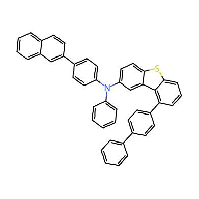 c1ccc(-c2ccc(-c3cccc4sc5ccc(N(c6ccccc6)c6ccc(-c7ccc8ccccc8c7)cc6)cc5c34)cc2)cc1